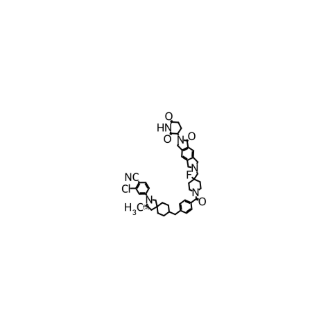 C[C@H]1CC2(CCC(Cc3ccc(C(=O)N4CCC(F)(CN5Cc6cc7c(cc6C5)C(=O)N(C5CCC(=O)NC5=O)C7)CC4)cc3)CC2)CN1c1ccc(C#N)c(Cl)c1